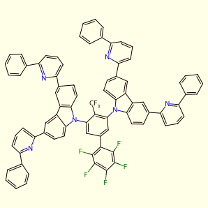 Fc1c(F)c(F)c(-c2cc(-n3c4ccc(-c5cccc(-c6ccccc6)n5)cc4c4cc(-c5cccc(-c6ccccc6)n5)ccc43)c(C(F)(F)F)c(-n3c4ccc(-c5cccc(-c6ccccc6)n5)cc4c4cc(-c5cccc(-c6ccccc6)n5)ccc43)c2)c(F)c1F